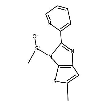 Cc1cc2nc(-c3ccccn3)n([S+](C)[O-])c2s1